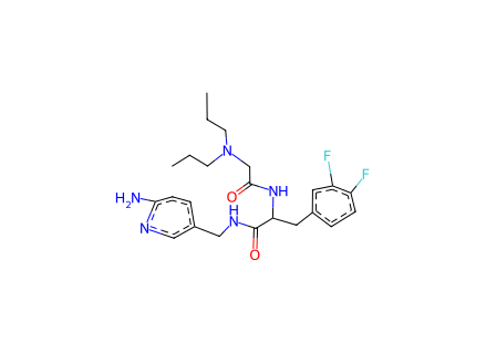 CCCN(CCC)CC(=O)NC(Cc1ccc(F)c(F)c1)C(=O)NCc1ccc(N)nc1